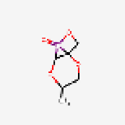 CC1COC23COP2(=O)C3O1